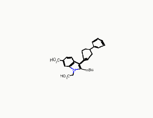 CCCCc1c(C2=CCC(c3ccccc3)CC2)c2ccc(C(=O)O)cc2n1CC(=O)O